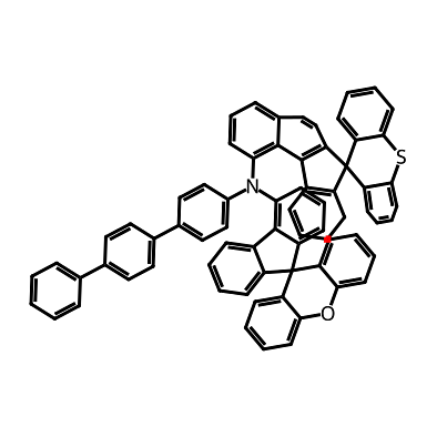 C1=CC2=C(CC1)C1(c3ccccc3Sc3ccccc31)c1ccc3cccc(N(c4ccc(-c5ccc(-c6ccccc6)cc5)cc4)c4cccc5c4-c4ccccc4C54c5ccccc5Oc5ccccc54)c3c12